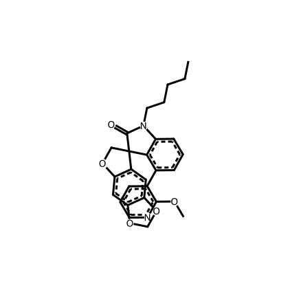 CCCCCN1C(=O)C2(COc3cc4c(cc32)OCO4)c2c(-c3cccnc3OC)cccc21